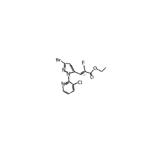 CCOC(=O)/C(F)=C/c1cc(Br)nn1-c1ncccc1Cl